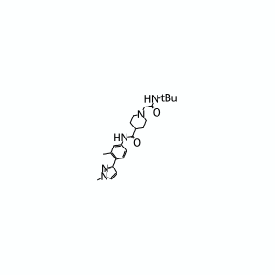 Cc1cc(NC(=O)C2CCN(CC(=O)NC(C)(C)C)CC2)ccc1-c1ccn(C)n1